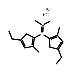 CCC1=CC(C)=[C]([Ti]([C]2=C(C)C=C(CC)C2)=[Si](C)C)C1.Cl.Cl